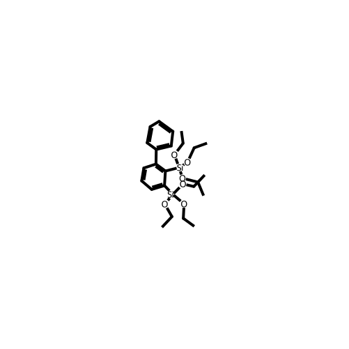 CCO[Si](OCC)(OCC)c1cccc(-c2ccccc2)c1[Si](OCC)(OCC)OCC